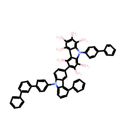 Bc1c(B)c(B)c2c(c1B)c1c(B)c(-c3ccc4c(c3)c3c(-c5ccccc5)cccc3n4-c3ccc(-c4cccc(-c5ccccc5)c4)cc3)c(B)c(B)c1n2-c1ccc(-c2ccccc2)cc1